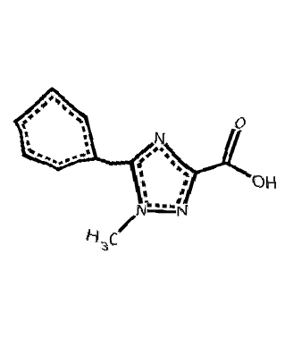 Cn1nc(C(=O)O)nc1-c1ccccc1